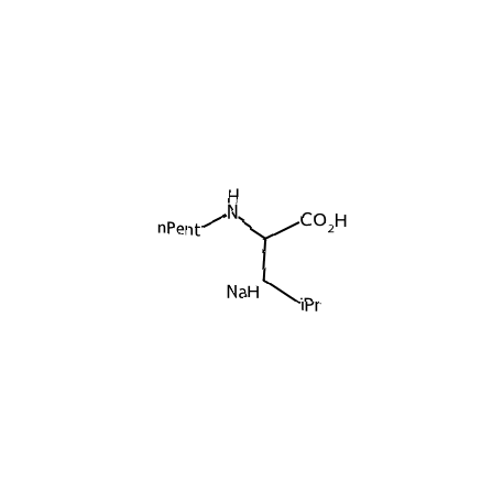 CCCCCNC(CC(C)C)C(=O)O.[NaH]